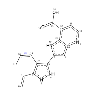 C=Cc1n[nH]c(-c2cc3nccc(C(=O)O)c3[nH]2)c1/C=C\C